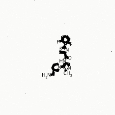 Cn1ncc(NC(=O)c2csc(-c3c(F)cccc3F)n2)c1N1CCCC(CN)C1